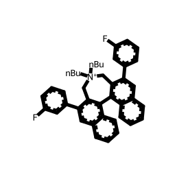 CCCC[N+]1(CCCC)Cc2c(-c3cccc(F)c3)cc3ccccc3c2-c2c(c(-c3cccc(F)c3)cc3ccccc23)C1